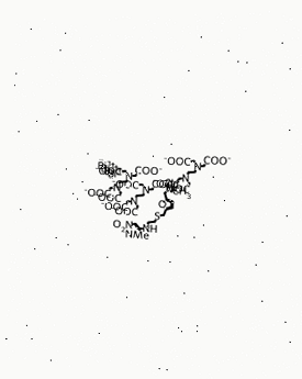 CNC(=C[N+](=O)[O-])NCCSCc1ccc(CN(C)C)o1.O=C([O-])CN(CCN(CC(=O)[O-])CC(=O)[O-])CC(=O)[O-].O=C([O-])CN(CCN(CC(=O)[O-])CC(=O)[O-])CC(=O)[O-].O=C([O-])CN(CCN(CC(=O)[O-])CC(=O)[O-])CC(=O)[O-].[Bi+3].[Bi+3].[Bi+3].[Bi+3]